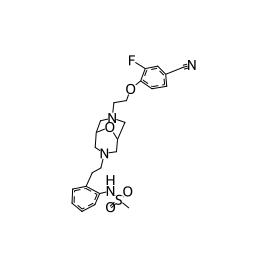 CS(=O)(=O)Nc1ccccc1CCN1CC2CN(CCOc3ccc(C#N)cc3F)CC(C1)O2